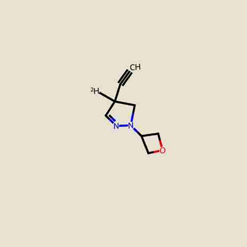 [2H]C1(C#C)C=NN(C2COC2)C1